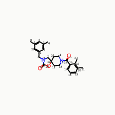 Cc1cc(C)cc(CN2CC3(CCN(C(=O)c4cccc(C)c4C)CC3)OC2=O)c1